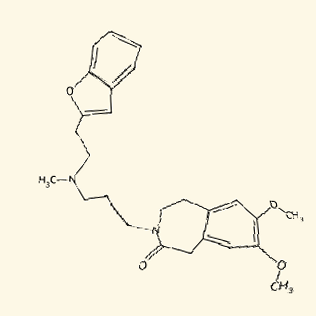 COc1cc2c(cc1OC)CC(=O)N(CCCN(C)CCc1cc3ccccc3o1)CC2